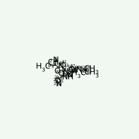 CC(C)C=C(C#N)C(=O)N1CCCC1Cn1c(NC(=O)c2cccnc2)nc2cc(CNCC(C)(C)C)ccc21